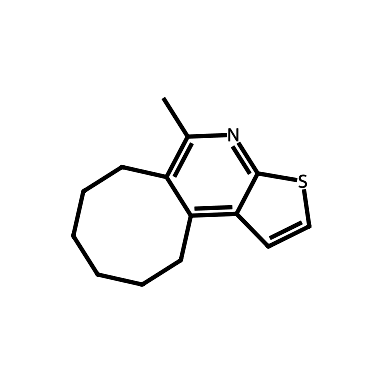 Cc1nc2sccc2c2c1CCCCCC2